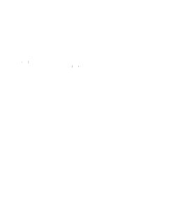 CC1=CC(C(=O)OC(C)C)=C(C(=O)OC(C)C)CCC1